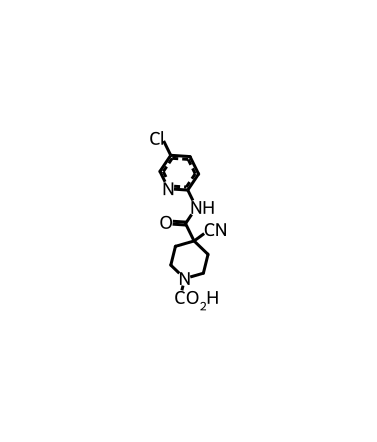 N#CC1(C(=O)Nc2ccc(Cl)cn2)CCN(C(=O)O)CC1